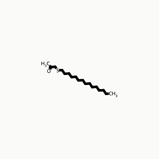 CCCCCCCCCCCCCCCSCC(C)=O